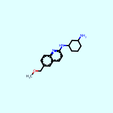 COCc1ccc2nc(NC3CCCC(N)C3)ccc2c1